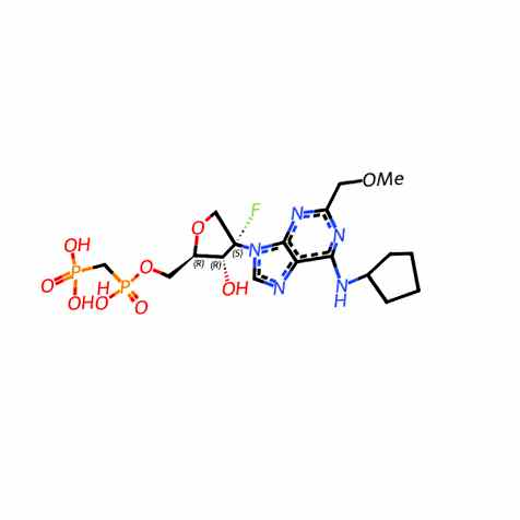 COCc1nc(NC2CCCC2)c2ncn([C@]3(F)CO[C@H](COP(=O)(O)CP(=O)(O)O)[C@H]3O)c2n1